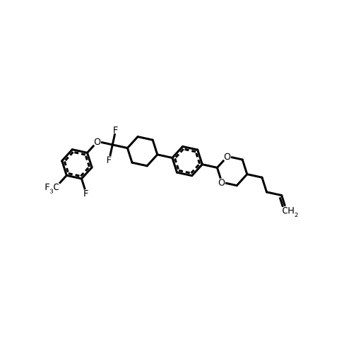 C=CCCC1COC(c2ccc(C3CCC(C(F)(F)Oc4ccc(C(F)(F)F)c(F)c4)CC3)cc2)OC1